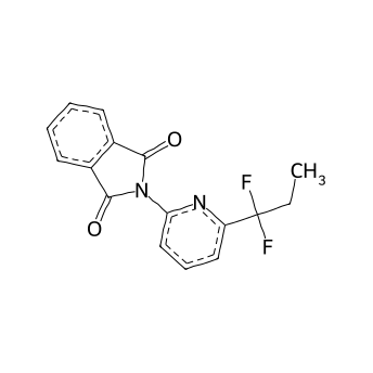 CCC(F)(F)c1cccc(N2C(=O)c3ccccc3C2=O)n1